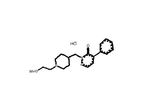 COCCN1CCC(Cn2nccc(-c3ccccc3)c2=O)CC1.Cl